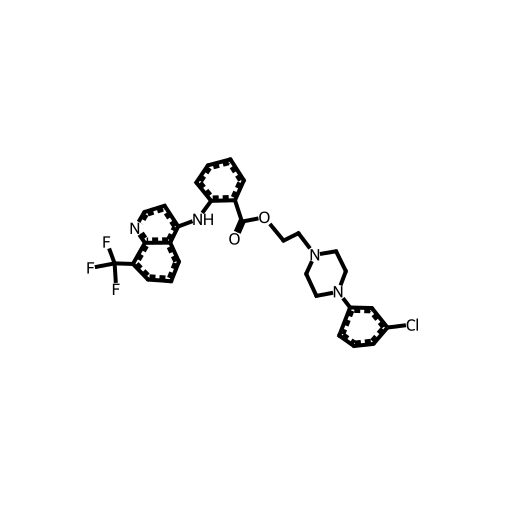 O=C(OCCN1CCN(c2cccc(Cl)c2)CC1)c1ccccc1Nc1ccnc2c(C(F)(F)F)cccc12